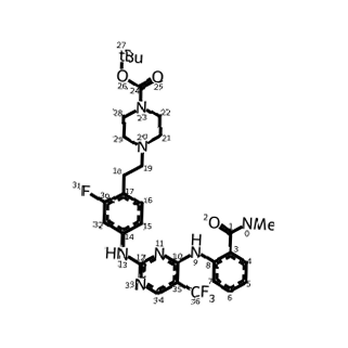 CNC(=O)c1ccccc1Nc1nc(Nc2ccc(CCN3CCN(C(=O)OC(C)(C)C)CC3)c(F)c2)ncc1C(F)(F)F